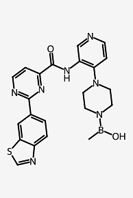 CB(O)N1CCN(c2ccncc2NC(=O)c2ccnc(-c3ccc4ncsc4c3)n2)CC1